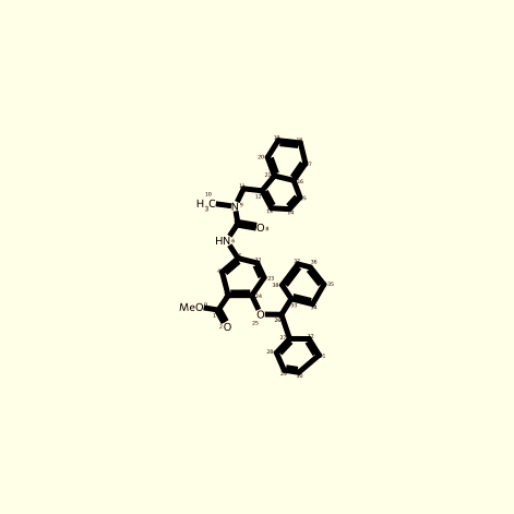 COC(=O)c1cc(NC(=O)N(C)Cc2cccc3ccccc23)ccc1OC(c1ccccc1)c1ccccc1